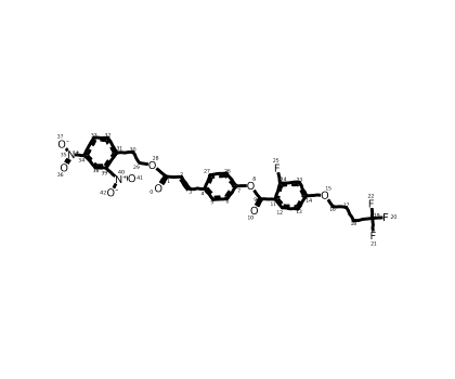 O=C(C=Cc1ccc(OC(=O)c2ccc(OCCCC(F)(F)F)cc2F)cc1)OCCc1ccc([N+](=O)[O-])cc1[N+](=O)[O-]